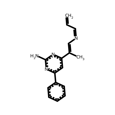 C=C/C=N\C=C(/C)c1cc(-c2ccccc2)nc(N)n1